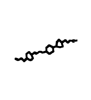 C=CCCC1CCC(C=CCCC2CCC(C3CCC(CCCCC)CC3)CC2)CC1